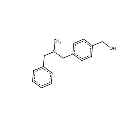 CN(Cc1ccccc1)Cc1ccc(CO)cc1